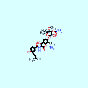 CO[C@@H]1[C@@H](OC(N)=O)[C@@H](O)[C@H](Oc2ccc3c(O)c(NC(=O)c4ccc(O)c(CC=C(C)C)c4)c(=O)oc3c2C)OC1(C)C.N